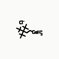 CC(C)(C)C(C[CH2][GeH2+])(C(C)(C)C)C(C)(C)C.[Cl-]